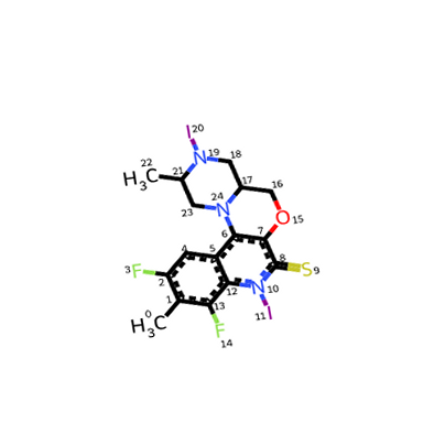 Cc1c(F)cc2c3c(c(=S)n(I)c2c1F)OCC1CN(I)C(C)CN31